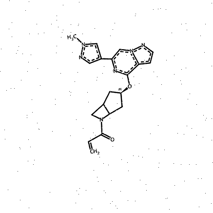 C=CC(=O)N1CC2C[C@@H](Oc3nc(-c4cnn(C)c4)cn4nccc34)CC21